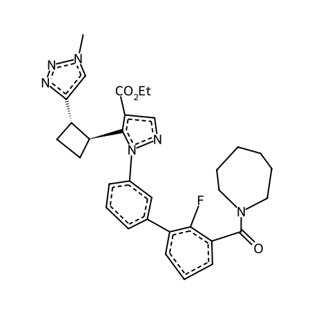 CCOC(=O)c1cnn(-c2cccc(-c3cccc(C(=O)N4CCCCCC4)c3F)c2)c1[C@H]1CC[C@@H]1c1cn(C)nn1